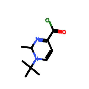 CC1N=C(C(=O)Cl)C=CN1C(C)(C)C